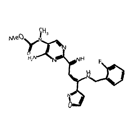 COC(=O)N(C)c1cnc(C(=N)/C=C(\NCc2ccccc2F)c2ccon2)nc1N